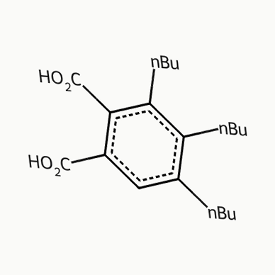 CCCCc1cc(C(=O)O)c(C(=O)O)c(CCCC)c1CCCC